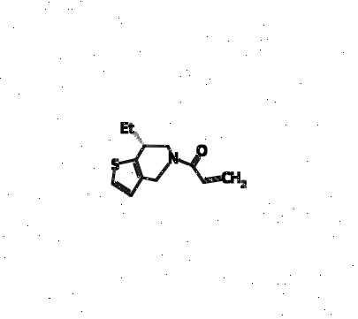 C=CC(=O)N1Cc2ccsc2[C@H](CC)C1